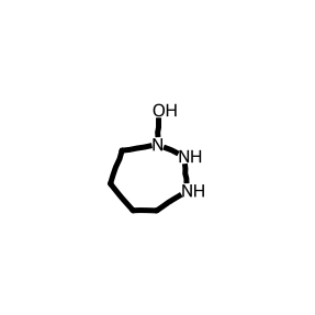 ON1CCCCNN1